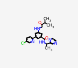 CC(C)C(=O)CNc1cc(C(=O)NC(C)c2cnccn2)cc(-c2ccc(Cl)cn2)c1